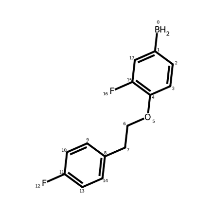 Bc1ccc(OCCc2ccc(F)cc2)c(F)c1